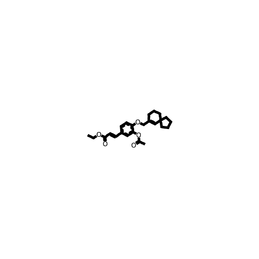 CCOC(=O)/C=C/c1ccc(OCC2=CC3(CCCC3)CCC2)c(OC(C)=O)c1